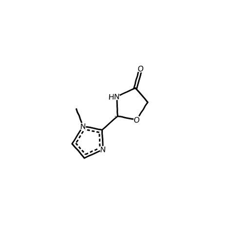 Cn1ccnc1[C]1NC(=O)CO1